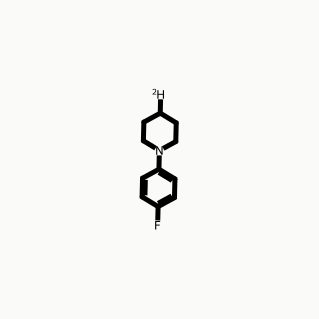 [2H]C1CCN(c2ccc(F)cc2)CC1